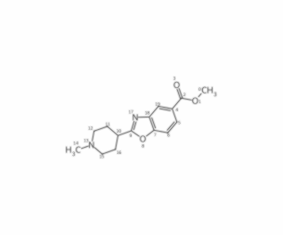 COC(=O)c1ccc2oc(C3CCN(C)CC3)nc2c1